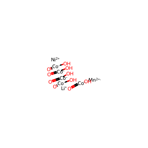 [Li+].[Mn+2].[Ni+2].[O]=[Co-][OH].[O]=[Co-][OH].[O]=[Co-][OH].[O]=[Co-][OH].[O]=[Co-][OH]